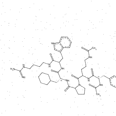 CC(=O)NCCCC(NC(=O)[C@H](Cc1ccccc1)NC(C)=O)C(=O)N1CCCC1C(=O)N[C@H](CC1CCCCC1)C(=O)NC(Cc1c[nH]c2ccccc12)C(=O)NCCCCNC(=N)N